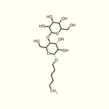 CCCCCCO[C@@H]1OC(CO)[C@@H](O[C@@H]2OC(CO)[C@H](O)[C@H](O)C2O)[C@H](O)C1O